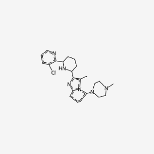 Cc1c(C2CCCC(c3ncccc3Cl)N2)nc2cccc(N3CCN(C)CC3)n12